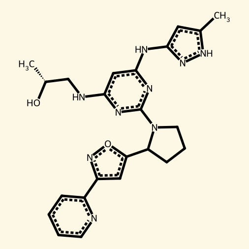 Cc1cc(Nc2cc(NC[C@@H](C)O)nc(N3CCCC3c3cc(-c4ccccn4)no3)n2)n[nH]1